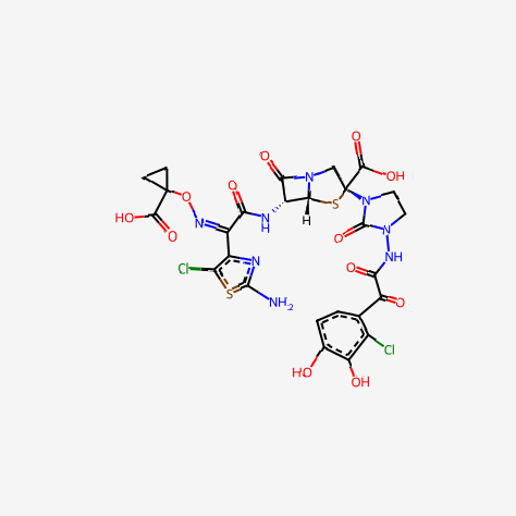 Nc1nc(/C(=N/OC2(C(=O)O)CC2)C(=O)N[C@@H]2C(=O)N3C[C@@](C(=O)O)(N4CCN(NC(=O)C(=O)c5ccc(O)c(O)c5Cl)C4=O)S[C@H]23)c(Cl)s1